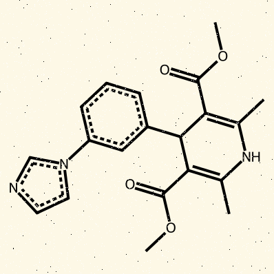 COC(=O)C1=C(C)NC(C)=C(C(=O)OC)C1c1cccc(-n2ccnc2)c1